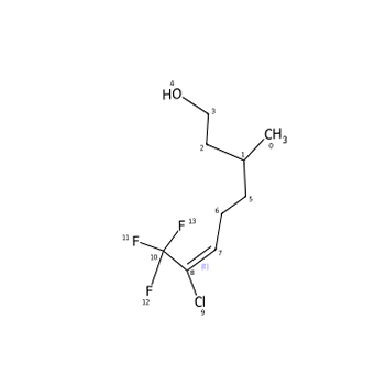 CC(CCO)CC/C=C(/Cl)C(F)(F)F